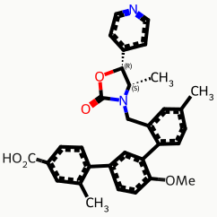 COc1ccc(-c2ccc(C(=O)O)cc2C)cc1-c1ccc(C)cc1CN1C(=O)O[C@H](c2ccncc2)[C@@H]1C